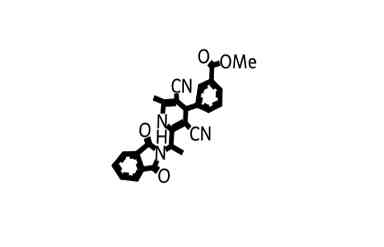 COC(=O)c1cccc(C2C(C#N)=C(C)NC(C(C)N3C(=O)c4ccccc4C3=O)=C2C#N)c1